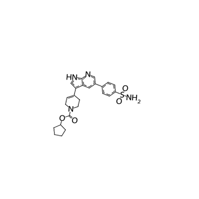 NS(=O)(=O)c1ccc(-c2cnc3[nH]cc(C4=CCN(C(=O)OC5CCCC5)CC4)c3c2)cc1